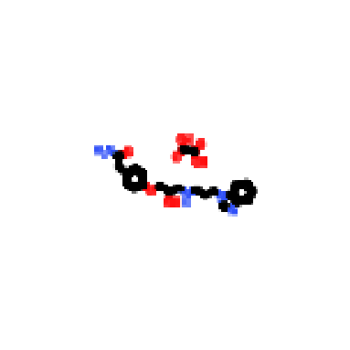 NC(=O)Cc1ccc(OCC(O)CNCCCn2cnc3ccccc32)cc1.O=C(O)C(=O)O